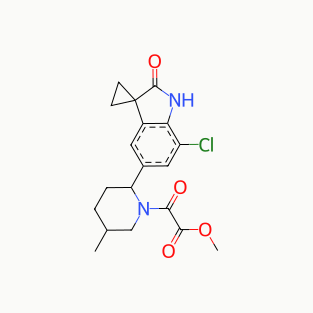 COC(=O)C(=O)N1CC(C)CCC1c1cc(Cl)c2c(c1)C1(CC1)C(=O)N2